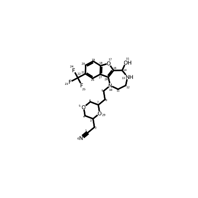 N#CCC1COCC(CCN2CCNC(O)c3oc4ccc(C(F)(F)F)cc4c32)O1